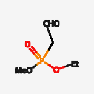 CCOP(=O)(CC=O)OC